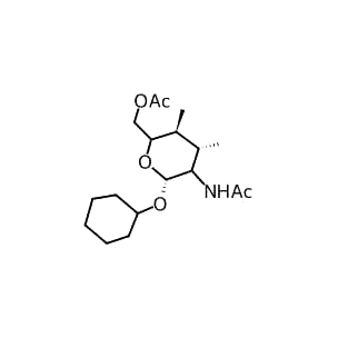 CC(=O)NC1[C@H](OC2CCCCC2)OC(COC(C)=O)[C@@H](C)[C@@H]1C